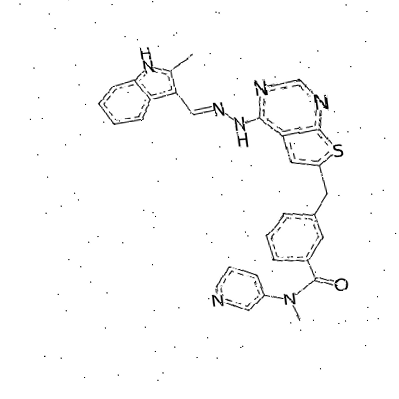 Cc1[nH]c2ccccc2c1C=NNc1ncnc2sc(Cc3cccc(C(=O)N(C)c4cccnc4)c3)cc12